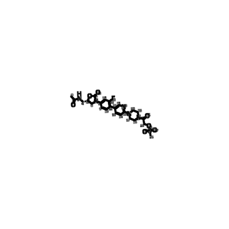 CC(=O)NC[C@H]1CN(c2ccc(-c3ccc(N4CCN(C(=O)COS(C)(=O)=O)CC4)nc3)c(F)c2)C(=O)O1